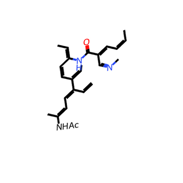 C=CC(=C\C=C(/C)NC(C)=O)/C(/C=C\C(=C/C)NC(=O)C(/C=N\C)=C/C=C\C)=C/C